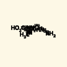 Cn1nc(-c2cc3cc(CNCCCN)ccc3[nH]2)c2ccc(C(=O)O)cc21